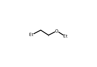 [CH2]CC[CH]OCC